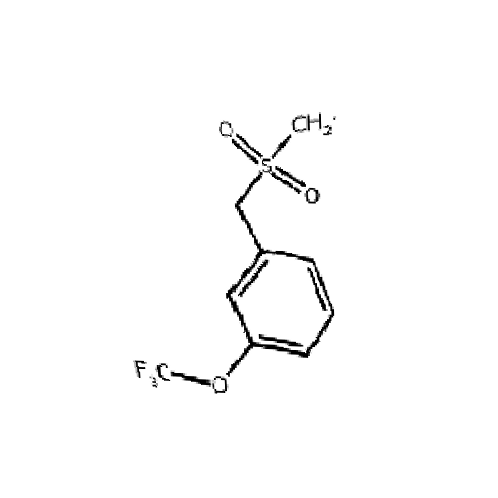 [CH2]S(=O)(=O)Cc1cccc(OC(F)(F)F)c1